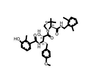 COc1ccc(C[C@H](NC(=O)c2cccc(O)c2C)[C@H](O)C(=O)N2CSC(C)(C)[C@H]2C(=O)NCc2c(C)cccc2C)cc1